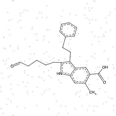 Cc1cc2[nH]c(CCCCC=O)c(CCc3ccccc3)c2cc1C(=O)O